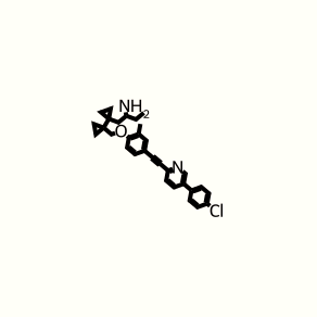 CCC(N)CC1(C2(COc3ccc(C#Cc4ccc(-c5ccc(Cl)cc5)cn4)cc3C)CC2)CC1